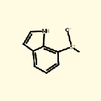 C[S+]([O-])c1cccc2[c]c[nH]c12